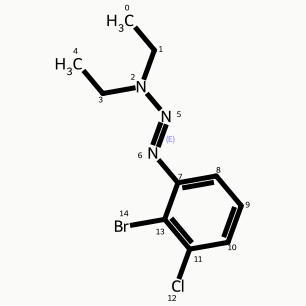 CCN(CC)/N=N/c1cccc(Cl)c1Br